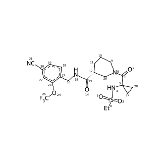 CCS(=O)(=O)NC1(C(=O)N2CCC[C@@H](C(=O)NCc3ccc(C#N)cc3OC(F)(F)F)C2)CC1